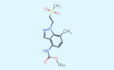 Cc1ccc(NC(=O)OC(C)(C)C)c2cnn(CCS(C)(=O)=O)c12